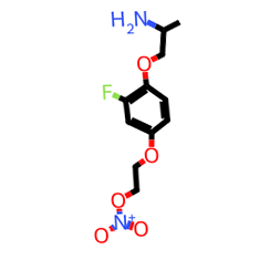 CC(N)COc1ccc(OCCO[N+](=O)[O-])cc1F